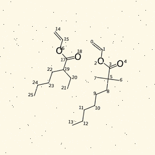 C=COC(=O)C(C)(C)CCCCCC.C=COC(=O)C(CC)CCCC